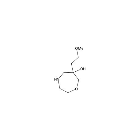 COCCC1(O)CNCCOC1